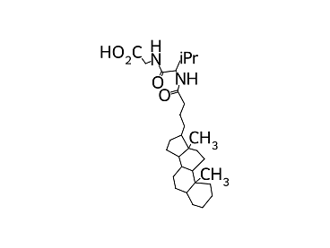 CC(C)C(NC(=O)CCCC1CCC2C3CCC4CCCCC4(C)C3CCC12C)C(=O)NCC(=O)O